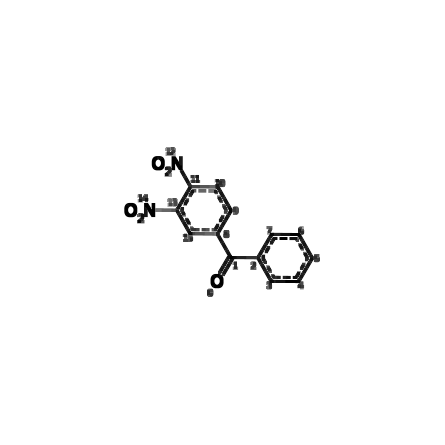 O=C(c1ccccc1)c1ccc([N+](=O)[O-])c([N+](=O)[O-])c1